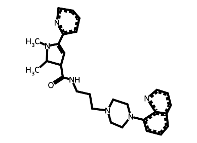 CC1C(C(=O)NCCCN2CCN(c3cccc4cccnc34)CC2)C=C(c2ccccn2)N1C